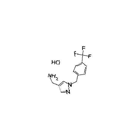 Cl.NCc1cnn(Cc2ccc(C(F)(F)F)cc2)c1